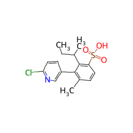 CCC(C)c1c(S(=O)(=O)O)ccc(C)c1-c1ccc(Cl)nc1